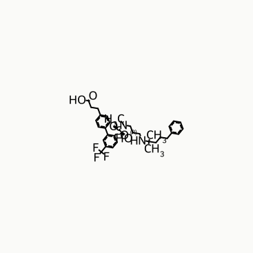 CN(C[C@H](O)CNC(C)(C)CCCc1ccccc1)S(=O)(=O)c1ccc(C(F)(F)F)cc1-c1ccc(CCC(=O)O)cc1